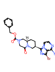 Nc1nccn2c([C@@H]3CC[C@@H]4CN(C(=O)OCc5ccccc5)CC(=O)N4C3)nc(Br)c12